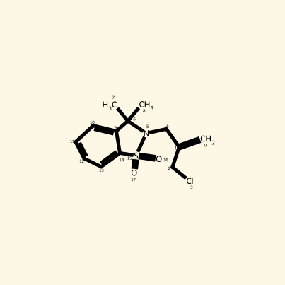 C=C(CCl)CN1C(C)(C)c2ccccc2S1(=O)=O